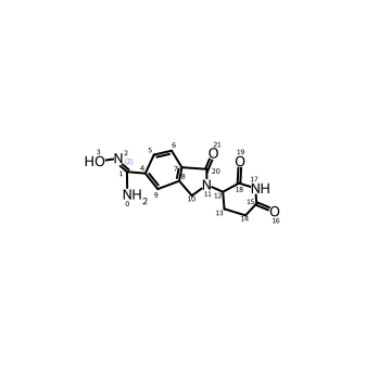 N/C(=N\O)c1ccc2c(c1)CN(C1CCC(=O)NC1=O)C2=O